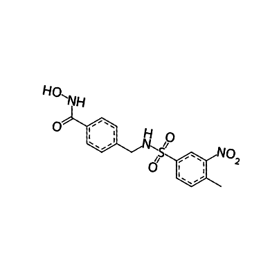 Cc1ccc(S(=O)(=O)NCc2ccc(C(=O)NO)cc2)cc1[N+](=O)[O-]